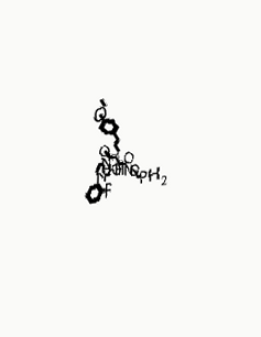 CCOc1ccc(CCC[C@@H](C(=O)N2CCN(c3ccccc3F)CC2)[C@H](O)C(=O)NOCP)cc1